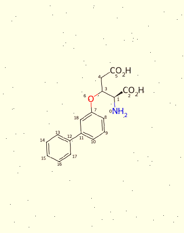 N[C@H](C(=O)O)C(CC(=O)O)Oc1cccc(-c2ccccc2)c1